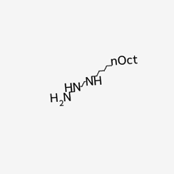 CCCCCCCCCCCCCCNCCNCCN